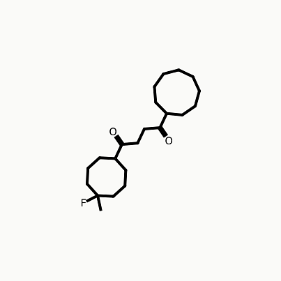 CC1(F)CCCC(C(=O)CCC(=O)C2CCCCCCCC2)CCC1